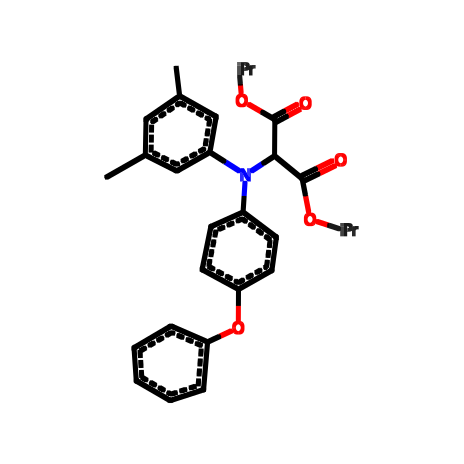 Cc1cc(C)cc(N(c2ccc(Oc3ccccc3)cc2)C(C(=O)OC(C)C)C(=O)OC(C)C)c1